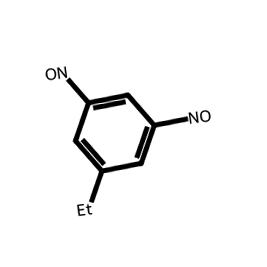 CCc1cc(N=O)cc(N=O)c1